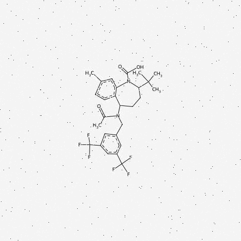 CC(=O)N(Cc1cc(C(F)(F)F)cc(C(F)(F)F)c1)C1CCC(C(C)(C)C)N(C(=O)O)c2cc(C)ccc21